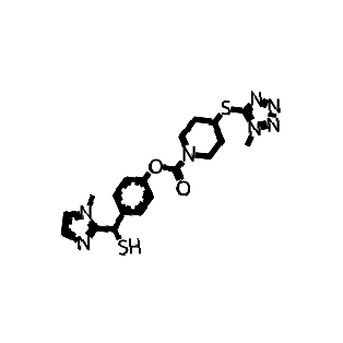 Cn1ccnc1C(S)c1ccc(OC(=O)N2CCC(Sc3nnnn3C)CC2)cc1